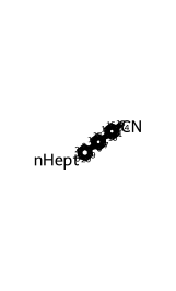 CCCCCCCC1CCC(c2ccc(-c3ccc(CC#N)cc3)cc2)CC1